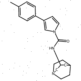 Cc1ccc(-c2ccn(C(=O)NC3CC4CCN(CC4)C3)c2)cc1